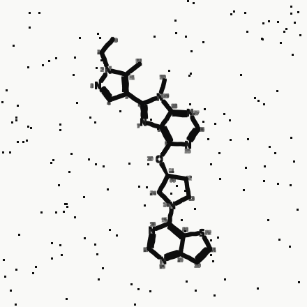 CCn1ncc(-c2nc3c(O[C@H]4CCN(c5ncnc6ccsc56)C4)ncnc3n2C)c1C